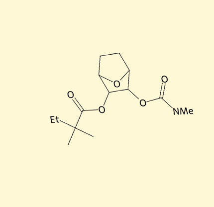 CCC(C)(C)C(=O)OC1C2CCC(O2)C1OC(=O)NC